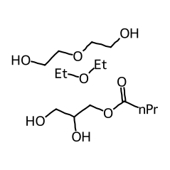 CCCC(=O)OCC(O)CO.CCOCC.OCCOCCO